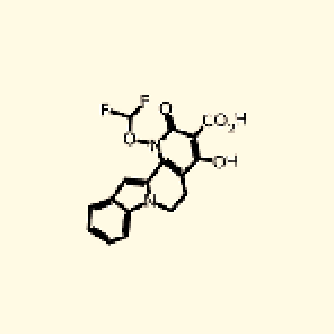 O=C(O)c1c(O)c2c(n(OC(F)F)c1=O)-c1cc3ccccc3n1CC2